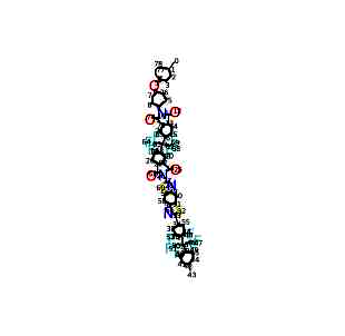 Cc1ccc(Oc2ccc(N3C(=O)c4ccc(C(c5ccc6c(c5)C(=O)N(c5nc7cc8sc(-c9ccc(C(c%10ccc(C)cc%10)(C(F)(F)F)C(F)(F)F)cc9)nc8cc7s5)C6=O)(C(F)(F)F)C(F)(F)F)cc4C3=O)cc2)cc1